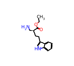 CCOC(=O)[C@H](CN)CCc1c[nH]c2ccccc12